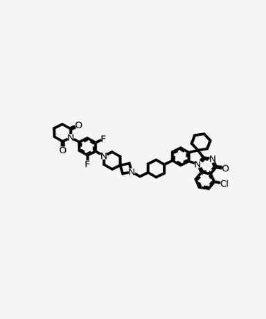 O=C1CCCC(=O)N1c1cc(F)c(N2CCC3(CC2)CN(CC2CCC(c4ccc5c(c4)-n4c(nc(=O)c6c(Cl)cccc64)C54CCCCC4)CC2)C3)c(F)c1